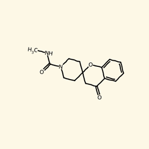 CNC(=O)N1CCC2(CC1)CC(=O)c1ccccc1O2